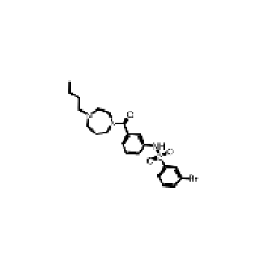 CCCCN1CCCN(C(=O)c2cccc(NS(=O)(=O)c3cccc(Br)c3)c2)CC1